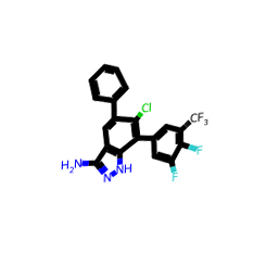 Nc1n[nH]c2c(-c3cc(F)c(F)c(C(F)(F)F)c3)c(Cl)c(-c3ccccc3)cc12